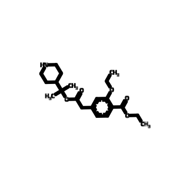 CCOC(=O)c1ccc(CC(=O)OC(C)(C)C2CCNCC2)cc1OCC